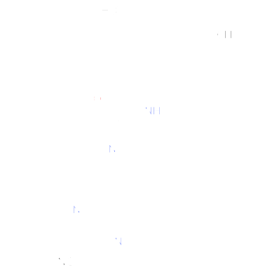 Cc1cc(C)cc(NC(=O)NC2(c3ccnc(C#N)n3)CCCC2)c1